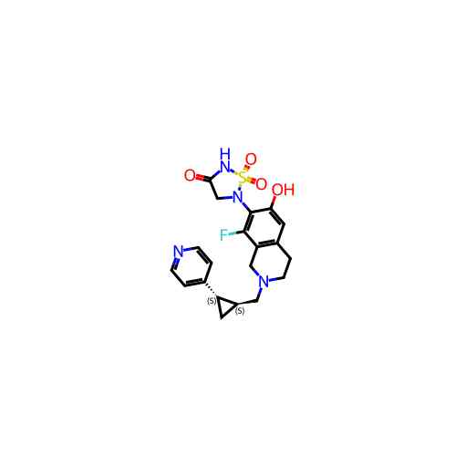 O=C1CN(c2c(O)cc3c(c2F)CN(C[C@H]2C[C@@H]2c2ccncc2)CC3)S(=O)(=O)N1